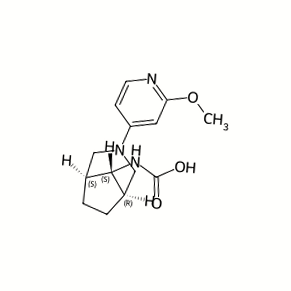 COc1cc(N2C[C@H]3CC[C@@H](C2)[C@@H]3NC(=O)O)ccn1